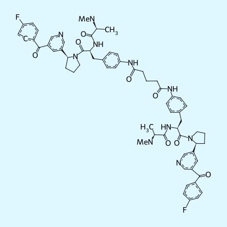 CN[C@@H](C)C(=O)N[C@@H](Cc1ccc(NC(=O)CCCC(=O)Nc2ccc(C[C@H](NC(=O)[C@H](C)NC)C(=O)N3CCC[C@H]3c3cncc(C(=O)c4ccc(F)cc4)c3)cc2)cc1)C(=O)N1CCC[C@H]1c1cncc(C(=O)c2ccc(F)cc2)c1